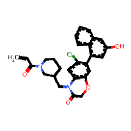 C=CC(=O)N1CCCC(CN2C(=O)COc3cc(-c4cc(O)cc5ccccc45)c(Cl)cc32)C1